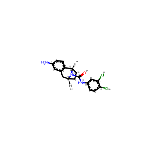 Nc1ccc2c(c1)C[C@H]1CC[C@@H]2N1C(=O)Nc1ccc(Cl)c(Cl)c1